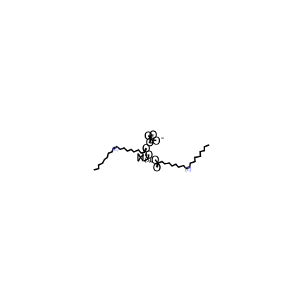 CCCCCCCC/C=C\CCCCCCCC(=O)OC[C@H](C[N+](C)(C)C)OC(=O)CCCCCCC/C=C\CCCCCCCC.COS(=O)(=O)[O-]